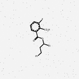 CCC(CCC(C)C)OC(=O)c1cccc(F)c1C(=O)O